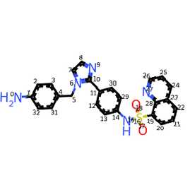 Nc1ccc(Cn2ccnc2-c2ccc(NS(=O)(=O)c3cccc4cccnc34)cc2)cc1